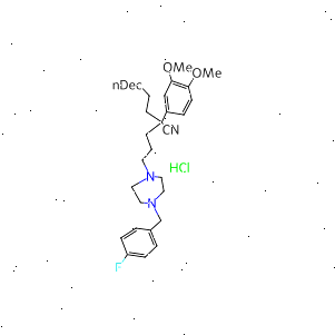 CCCCCCCCCCCCC(C#N)(CCCN1CCN(Cc2ccc(F)cc2)CC1)c1ccc(OC)c(OC)c1.Cl